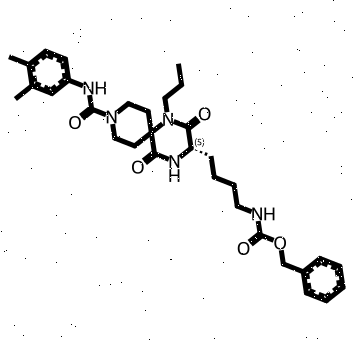 CCCN1C(=O)[C@H](CCCCNC(=O)OCc2ccccc2)NC(=O)C12CCN(C(=O)Nc1ccc(C)c(C)c1)CC2